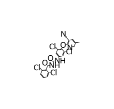 Cc1cnc(Oc2c(Cl)cc(NC(=O)NC(=O)c3c(Cl)cccc3Cl)cc2Cl)c(C#N)c1